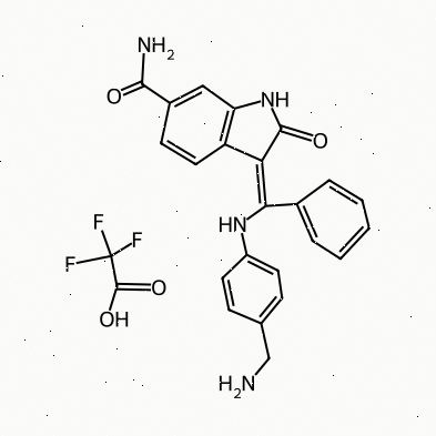 NCc1ccc(NC(=C2C(=O)Nc3cc(C(N)=O)ccc32)c2ccccc2)cc1.O=C(O)C(F)(F)F